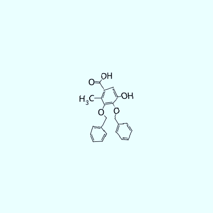 Cc1c(C(=O)O)cc(O)c(OCc2ccccc2)c1OCc1ccccc1